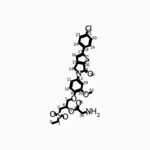 CCS(=O)(=O)CC(COc1ccc(N2Cc3cc(-c4ccc(Cl)cc4)sc3C2=O)cc1OC)OC(=O)CN